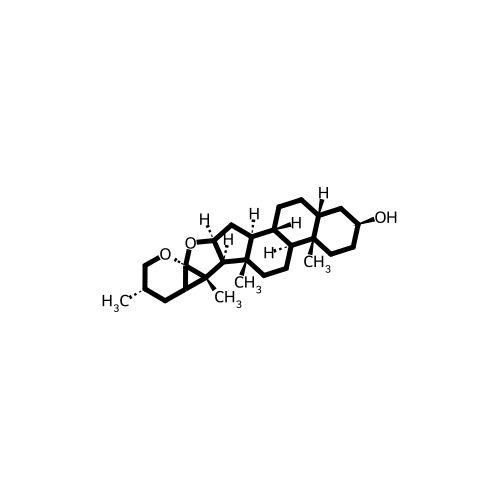 C[C@@H]1CO[C@]23O[C@H]4C[C@H]5[C@@H]6CC[C@@H]7C[C@@H](O)CC[C@]7(C)[C@H]6CC[C@]5(C)[C@H]4[C@]2(C)C3C1